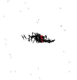 CCCCc1ccc(-c2ccc(C(=O)N3C[C@@H](N)C[C@H]3C(=O)N3CCC[C@H]3C(=O)N[C@@H](N)C(=O)N[C@@H](CCCCN)C(=O)N[C@@H](N)B3OC4C[C@@H]5C[C@@H](C5(C)C)[C@]4(C)O3)cc2)cc1